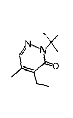 CCc1c(C)cnn(C(C)(C)C)c1=O